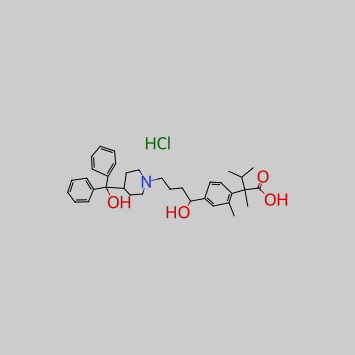 Cc1cc(C(O)CCCN2CCC(C(O)(c3ccccc3)c3ccccc3)CC2)ccc1C(C)(C(=O)O)C(C)C.Cl